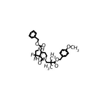 COc1ccc(COC(=O)C(C)(C)CN2CC[C@@H]3[C@H](C2=O)C(F)(F)CN3C(=O)OCc2ccccc2)cc1